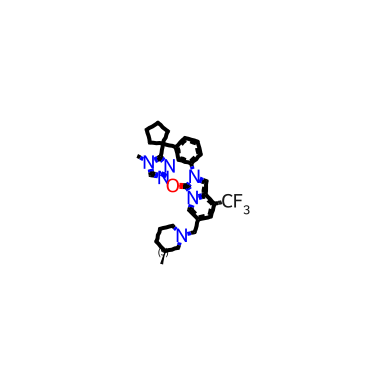 C[C@H]1CCCN(Cc2cc(C(F)(F)F)c3cn(-c4cccc(C5(c6nncn6C)CCCC5)c4)c(=O)n3c2)C1